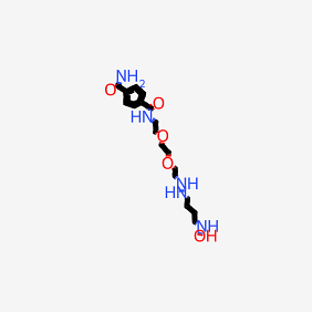 NC(=O)c1ccc(C(=O)NCCOCCOCCNNCCCCNO)cc1